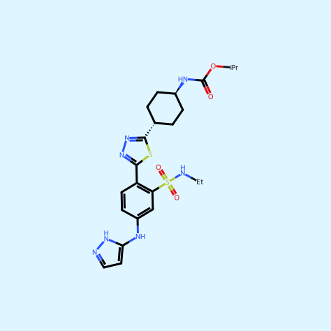 CCNS(=O)(=O)c1cc(Nc2ccn[nH]2)ccc1-c1nnc([C@H]2CC[C@H](NC(=O)OC(C)C)CC2)s1